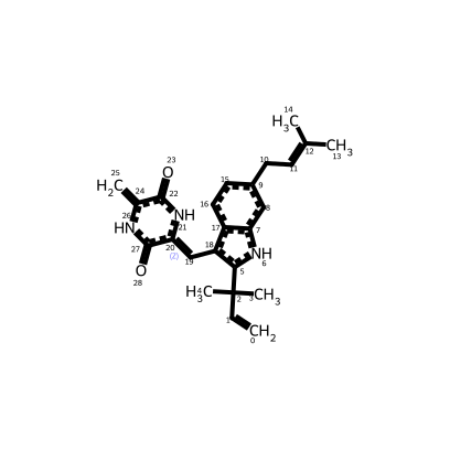 C=CC(C)(C)c1[nH]c2cc(CC=C(C)C)ccc2c1/C=c1\[nH]c(=O)c(=C)[nH]c1=O